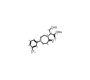 COC(=O)[C@H](CC=O)N1CCN(c2cccc(C(F)(F)F)c2)CCC1=O